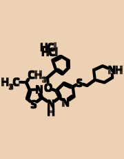 CC(C)c1csc(Nc2ncc(SCC3CCNCC3)cc2OCc2ccccc2)n1.Cl.Cl